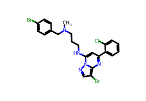 CN(CCCNc1cc(-c2ccccc2Cl)nc2c(Br)cnn12)Cc1ccc(Br)cc1